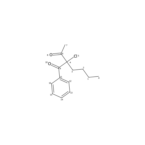 CCCCC(Cl)(C(C)=O)C(=O)c1ccccc1